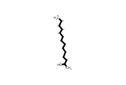 [CH2]C(O)CCCCCCCCCCCC